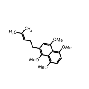 COc1ccc(OC)c2c(OC)c(CCC=C(C)C)cc(OC)c12